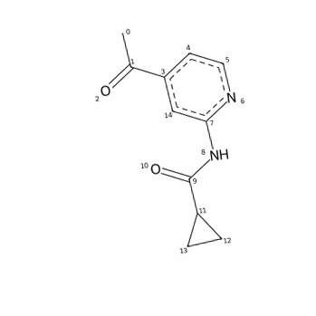 CC(=O)c1ccnc(NC(=O)C2CC2)c1